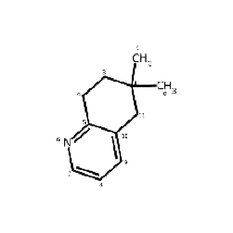 CC1(C)CCc2ncccc2C1